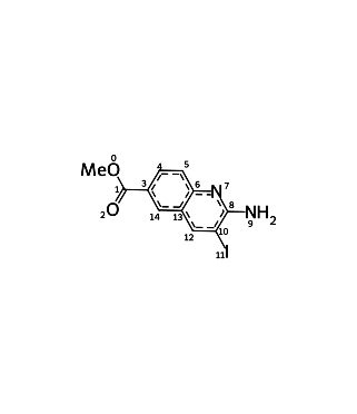 COC(=O)c1ccc2nc(N)c(I)cc2c1